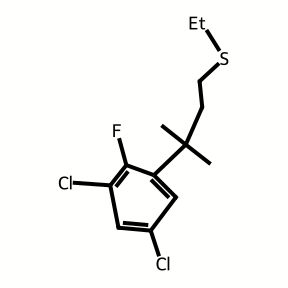 CCSCCC(C)(C)c1cc(Cl)cc(Cl)c1F